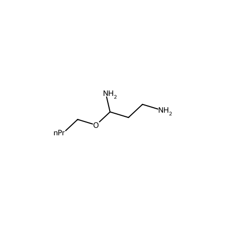 CCCCOC(N)CCN